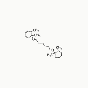 CC1C=CC=CC1(C)OCCCCCCOC1(C)C=CC=CC1C